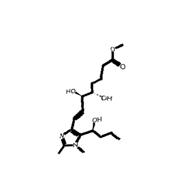 CCC[C@H](O)c1c(/C=C/[C@@H](O)[C@@H](O)CCCC(=O)OC)nc(C)n1C